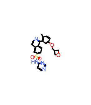 Cc1ccc(OCC2COC2)cc1-c1nccc2cc(S(=O)(=O)Nc3ccncn3)ccc12